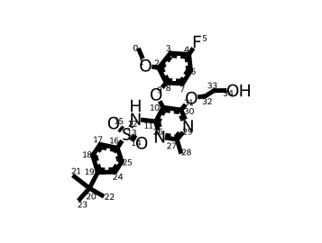 COc1cc(F)ccc1Oc1c(NS(=O)(=O)c2ccc(C(C)(C)C)cc2)nc(C)nc1OCCO